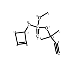 C#CC(C)(C)OP(=O)(OC)OC1C=CC1